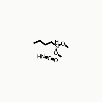 CCCC[SiH](OC)OC.N=C=O